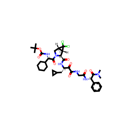 CN(C)C(=O)[C@@H](NC(=O)CNC(=O)C(=O)[C@H](CC1CC1)NC(=O)[C@@H]1[C@@H]2[C@H](CN1C(=O)[C@@H](NC(=O)OC(C)(C)C)C1CCCCC1)C2(Cl)Cl)c1ccccc1